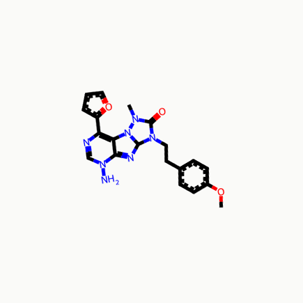 COc1ccc(CCN2C(=O)N(C)N3C4=C(c5ccco5)N=CN(N)C4=NC23)cc1